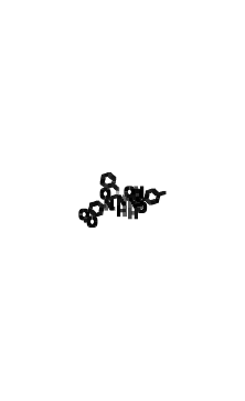 Cc1ccc(S(=O)(=O)NC(O)N[C@@H](Cc2ccccc2)C(=O)N(C)c2ccc3c(c2)OCO3)cc1